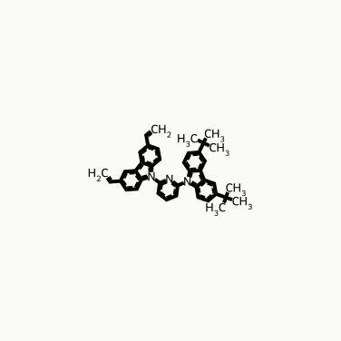 C=Cc1ccc2c(c1)c1cc(C=C)ccc1n2-c1cccc(-n2c3ccc(C(C)(C)C)cc3c3cc(C(C)(C)C)ccc32)n1